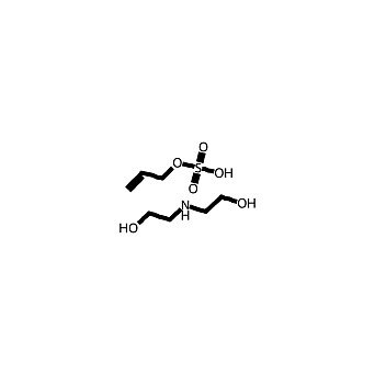 C=CCOS(=O)(=O)O.OCCNCCO